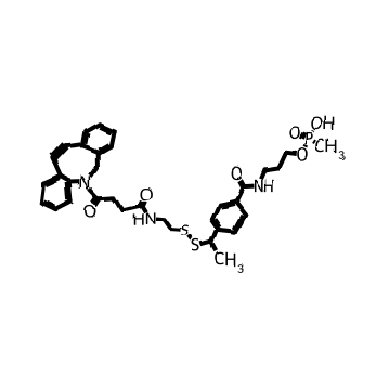 CC(SSCCNC(=O)CCC(=O)N1Cc2ccccc2C#Cc2ccccc21)c1ccc(C(=O)NCCCOP(C)(=O)O)cc1